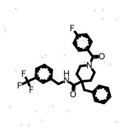 O=C(c1ccc(F)cc1)N1CCC(Cc2ccccc2)(C(=O)NCc2cccc(C(F)(F)F)c2)CC1